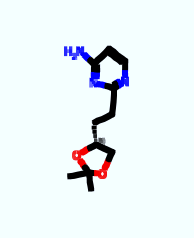 CC1(C)OC[C@@H](CCc2nccc(N)n2)O1